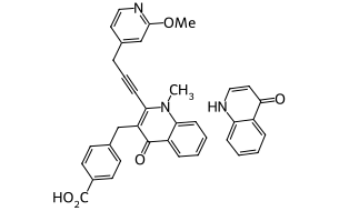 COc1cc(CC#Cc2c(Cc3ccc(C(=O)O)cc3)c(=O)c3ccccc3n2C)ccn1.O=c1cc[nH]c2ccccc12